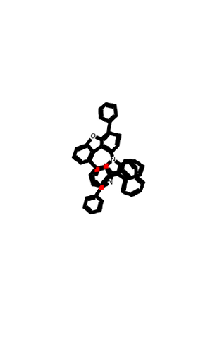 c1ccc(-c2nc(-c3ccccc3)nc(-c3cccc4oc5c(-c6ccccc6)ccc(-n6c7ccccc7c7c8ccccc8ccc76)c5c34)n2)cc1